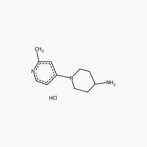 Cc1cc(N2CCC(N)CC2)ccn1.Cl